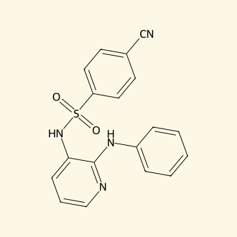 N#Cc1ccc(S(=O)(=O)Nc2cccnc2Nc2ccccc2)cc1